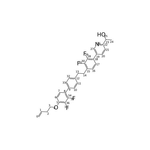 C=CCCOc1ccc(-c2ccc(CCc3ccc(-c4ccc(C(C)O)nc4)c(F)c3F)cc2)c(F)c1F